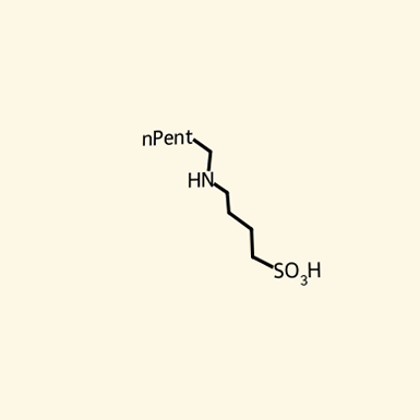 CCCCCCNCCCCS(=O)(=O)O